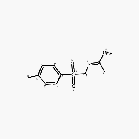 COC(C)=NCS(=O)(=O)c1ccc(C)cc1